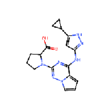 O=C(O)C1CCCN1c1nc(Nc2cc(C3CC3)[nH]n2)c2cccn2n1